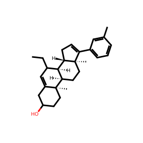 CCC1C=C2CC(O)CC[C@]2(C)[C@@H]2CC[C@]3(C)C(c4cccc(C)c4)=CC[C@H]3[C@H]12